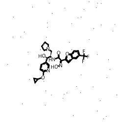 O=C(N[C@H](CN1CCCC1)[C@H](O)c1ccc(OC2CC2)nc1)C(=NO)c1cc2cc(C(F)(F)F)ccc2o1